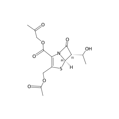 CC(=O)COC(=O)C1=C(COC(C)=O)S[C@@H]2[C@@H](C(C)O)C(=O)N12